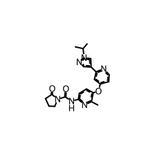 Cc1nc(NC(=O)N2CCCC2=O)ccc1Oc1ccnc(-c2cnn(C(C)C)c2)c1